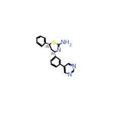 NC1=N[C@H](c2cccc(-c3cncnc3)c2)C[C@@H](c2ccccc2)S1